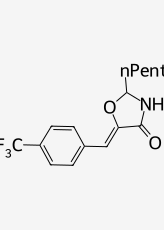 CCCCCC1NC(=O)/C(=C/c2ccc(C(F)(F)F)cc2)O1